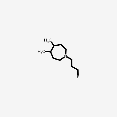 CC1CCN(CCCF)CCC1C